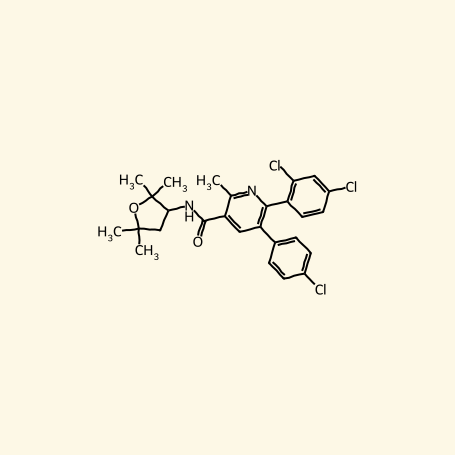 Cc1nc(-c2ccc(Cl)cc2Cl)c(-c2ccc(Cl)cc2)cc1C(=O)NC1CC(C)(C)OC1(C)C